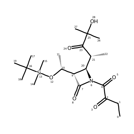 CCC(=O)C(=O)N1C(=O)[C@H]([C@@H](C)O[Si](C)(C)C(C)(C)C)[C@H]1[C@@H](C)C(=O)C(C)(C)O